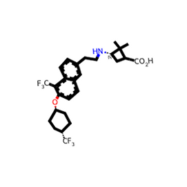 CC1(C)C(C(=O)O)C[C@@H]1NCCc1ccc2c(C(F)(F)F)c(O[C@H]3CC[C@@H](C(F)(F)F)CC3)ccc2c1